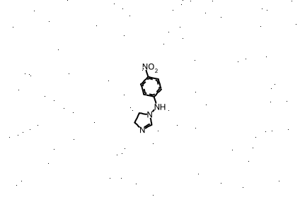 O=[N+]([O-])c1ccc(NN2C=NCC2)cc1